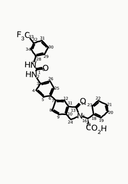 O=C(Nc1ccc(-c2ccc3c(c2)C(=O)N([C@H](C(=O)O)c2ccccc2)C3)cc1)Nc1cccc(C(F)(F)F)c1